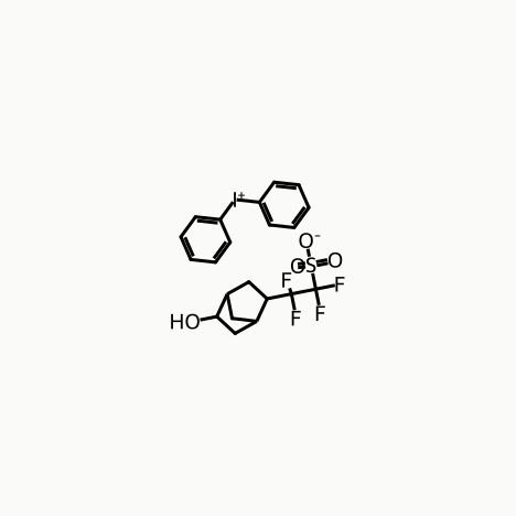 O=S(=O)([O-])C(F)(F)C(F)(F)C1CC2CC1CC2O.c1ccc([I+]c2ccccc2)cc1